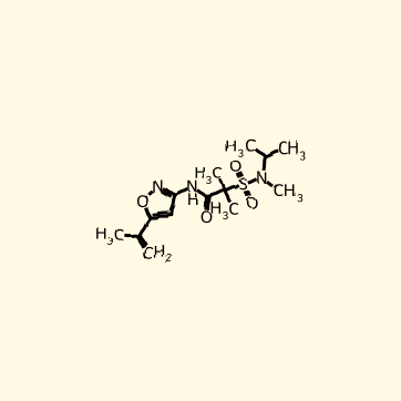 C=C(C)c1cc(NC(=O)C(C)(C)S(=O)(=O)N(C)C(C)C)no1